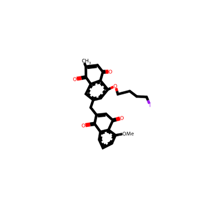 COc1cccc2c1C(=O)C=C(Cc1cc(OCCCCI)c3c(c1)C(=O)C(C)=CC3=O)C2=O